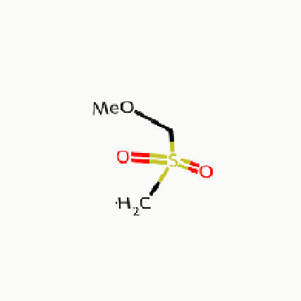 [CH2]S(=O)(=O)COC